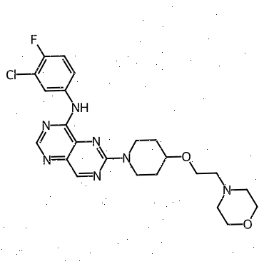 Fc1ccc(Nc2ncnc3cnc(N4CCC(OCCN5CCOCC5)CC4)nc23)cc1Cl